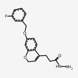 NNC(=O)CCC1=CCOc2cc(OCc3cccc(F)c3)ccc21